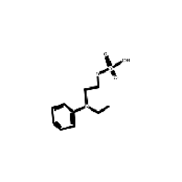 CCN(CCOS(=O)(=O)O)c1ccccc1